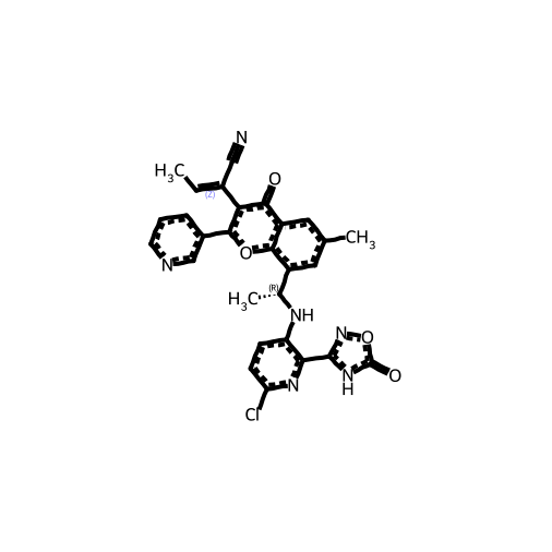 C/C=C(\C#N)c1c(-c2cccnc2)oc2c([C@@H](C)Nc3ccc(Cl)nc3-c3noc(=O)[nH]3)cc(C)cc2c1=O